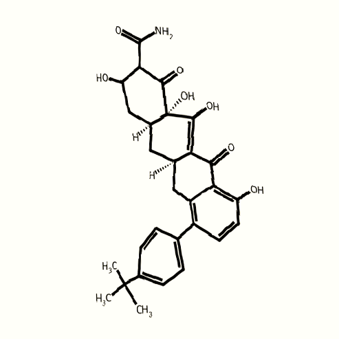 CC(C)(C)c1ccc(-c2ccc(O)c3c2C[C@H]2C[C@H]4CC(O)C(C(N)=O)C(=O)[C@@]4(O)C(O)=C2C3=O)cc1